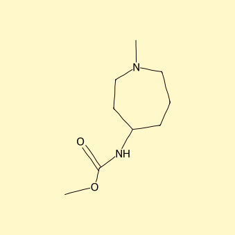 COC(=O)NC1CCCN(C)CC1